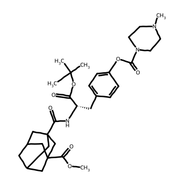 COC(=O)C12CC3CC(CC(C(=O)N[C@@H](Cc4ccc(OC(=O)N5CCN(C)CC5)cc4)C(=O)OC(C)(C)C)(C3)C1)C2